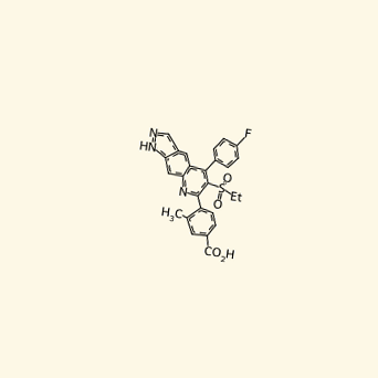 CCS(=O)(=O)c1c(-c2ccc(C(=O)O)cc2C)nc2cc3[nH]ncc3cc2c1-c1ccc(F)cc1